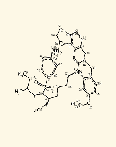 CCC(C)CN([C@H](CO)CCCCNC(=O)N(Cc1ccc(OC)cc1)Cc1ccc2c(c1)OCO2)S(=O)(=O)c1ccc(N)cc1